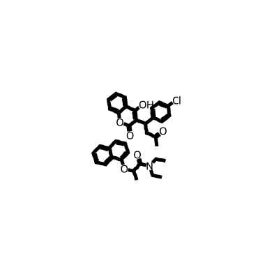 CC(=O)CC(c1ccc(Cl)cc1)c1c(O)c2ccccc2oc1=O.CCN(CC)C(=O)C(C)Oc1cccc2ccccc12